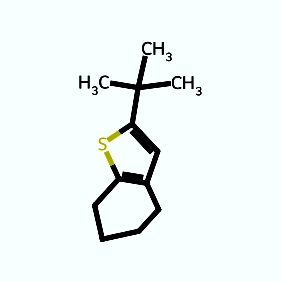 CC(C)(C)c1cc2c(s1)CCCC2